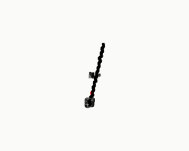 CCCCCCCCCCCCCCCCCCCCCCCOS(=O)(=O)[O-].[Na+]